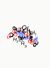 C=C[C@@H]1C[C@]1(NC(=O)[C@@H]1C[C@@]2(CN1C(=O)[C@@H](NC(=O)[C@@H](NC(=O)OC1CCOCC1)C1CCCCC1)C(C)(C)C)C(C)(C)C21CCC1)C(=O)NS(=O)(=O)c1cccc2cc[nH]c12